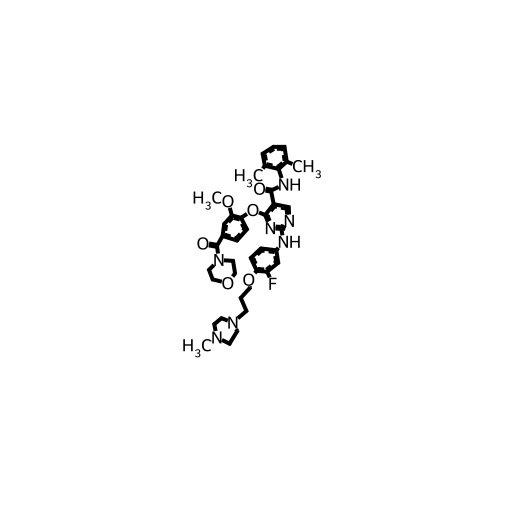 COc1cc(C(=O)N2CCOCC2)ccc1Oc1nc(Nc2ccc(OCCCN3CCN(C)CC3)c(F)c2)ncc1C(=O)Nc1c(C)cccc1C